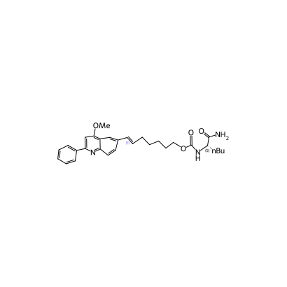 CCCC[C@H](NC(=O)OCCCCC/C=C/c1ccc2nc(-c3ccccc3)cc(OC)c2c1)C(N)=O